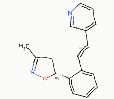 CC1=NO[C@@H](c2ccccc2/C=C/c2cccnc2)C1